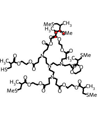 CSCC(C)C(=O)OCCOC(=O)CCN(CCC(=O)OCCOC(=O)C(C)CS)CCN(CCN(CCC(=O)OCCOC(=O)C(C)CSC)CCC(=O)OCCOC(=O)C(C)CSC)CCN(CCC(=O)OCCOC(=O)C(C)CSC)CCC(=O)OCCOC(=O)C(C)CSC